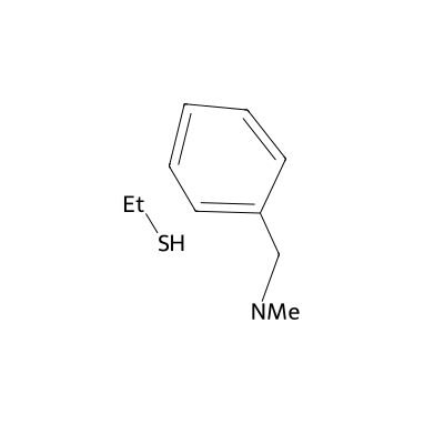 CCS.CNCc1ccccc1